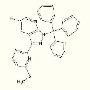 CSc1ccnc(-c2nn(C(c3ccccc3)(c3ccccc3)c3ccccc3)c3ncc(F)cc23)n1